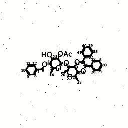 CC(=O)O[C@H]1C(O)[C@@H](OCc2ccccc2)C(C)O[C@H]1OC1[C@H](C)OC(C)[C@H](OCc2ccccc2)[C@@H]1OCc1ccccc1